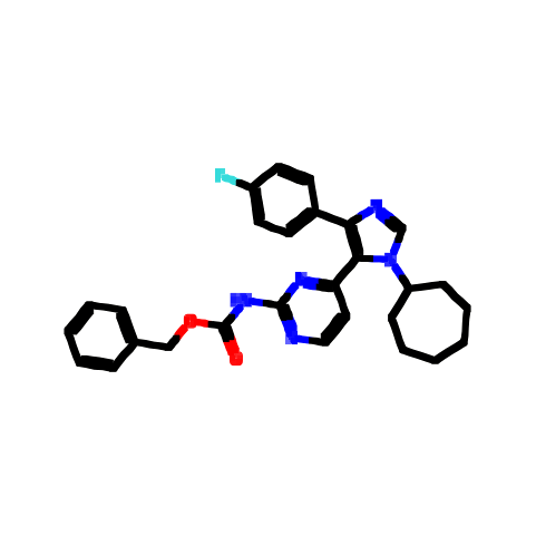 O=C(Nc1nccc(-c2c(-c3ccc(F)cc3)ncn2C2CCCCCC2)n1)OCc1ccccc1